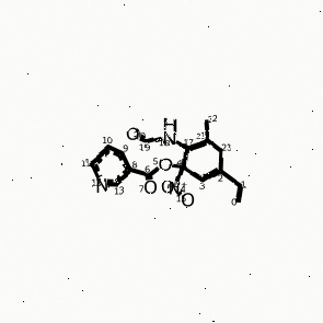 CCC1=CC(OC(=O)c2cccnc2)([N+](=O)[O-])C(NC=O)=C(C)C1